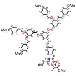 COC(=O)C(C)NC(=O)C(Cc1ccc(OCc2cc(OCc3ccc(CCc4ccc(OC)cc4)c(OCc4ccc(OC)cc4)c3)cc(OCc3ccc(OCc4ccc(OC)cc4)c(OCc4ccc(OC)cc4)c3)c2)cc1)NC(=O)CC(C)(C)C